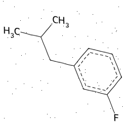 CC(C)Cc1cccc(F)c1